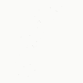 Cc1cc(N2CCC(CN3CCCC3C)C2)ccc1NC(=O)c1ccc2c(c1)OCO2